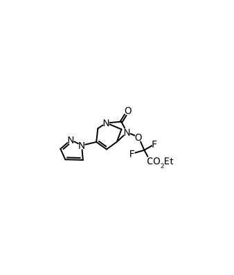 CCOC(=O)C(F)(F)ON1C(=O)N2CC(n3cccn3)=CC1C2